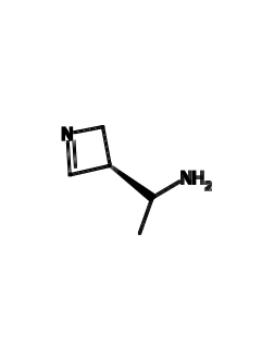 CC(N)[C@H]1C=NC1